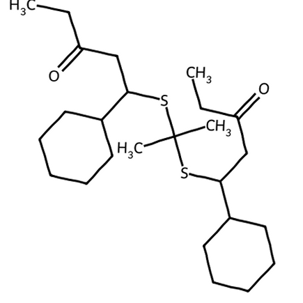 CCC(=O)CC(SC(C)(C)SC(CC(=O)CC)C1CCCCC1)C1CCCCC1